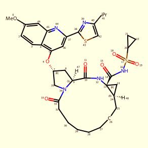 COc1ccc2c(O[C@@H]3C[C@H]4C(=O)N[C@]5(C(=O)NS(=O)(=O)C6CC6)C[C@H]5CCCCCCCC(=O)N4C3)cc(-c3nc(C(C)C)cs3)nc2c1